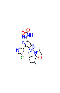 CCC1COCCN1c1nc2cc(-c3noc(=O)[nH]3)nc(-c3cncc(Cl)c3)c2n1C[C@H]1CC[C@H](C)CC1